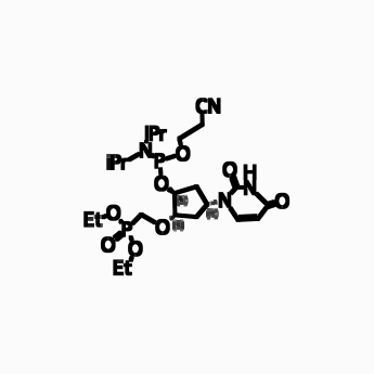 CCOP(=O)(CO[C@H]1C[C@@H](n2ccc(=O)[nH]c2=O)C[C@@H]1OP(OCCC#N)N(C(C)C)C(C)C)OCC